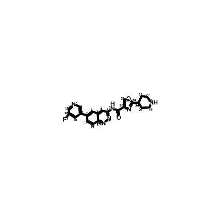 O=C(Nc1cc2cc(-c3cncc(F)c3)ccc2nn1)c1coc(C2CCNCC2)n1